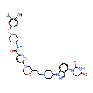 N#Cc1ccc(O[C@H]2CC[C@H](NC(=O)c3ccc(N4CCOC(CCN5CCC(n6ncc7c(N8CCC(=O)NC8=O)cccc76)CC5)C4)nn3)CC2)cc1Cl